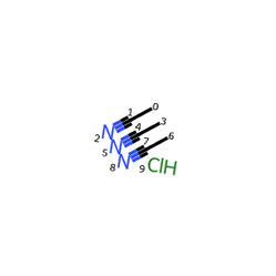 CC#N.CC#N.CC#N.Cl